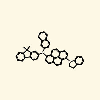 CC1(C)c2ccccc2-c2ccc(N(c3ccc4ccccc4c3)c3ccc4ccc5c(N6CCc7ccccc76)ccc6ccc3c4c65)cc21